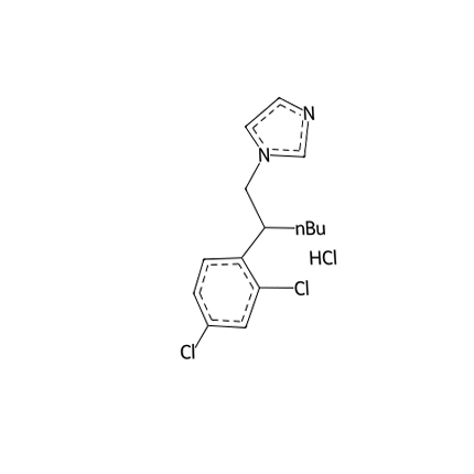 CCCCC(Cn1ccnc1)c1ccc(Cl)cc1Cl.Cl